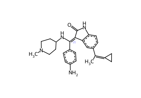 CC(=C1CC1)c1ccc2c(c1)/C(=C(/NC1CCN(C)CC1)c1ccc(N)cc1)C(=O)N2